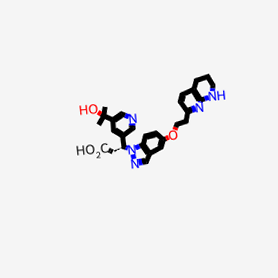 CC(C)(O)c1cncc([C@@H](CC(=O)O)n2ncc3cc(OCCc4ccc5c(n4)NCCC5)ccc32)c1